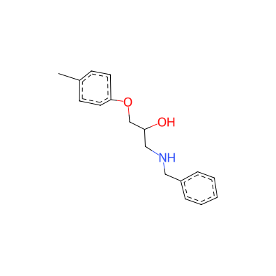 Cc1ccc(OCC(O)CNCc2ccccc2)cc1